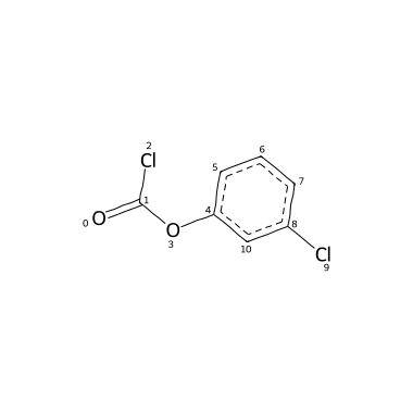 O=C(Cl)Oc1cccc(Cl)c1